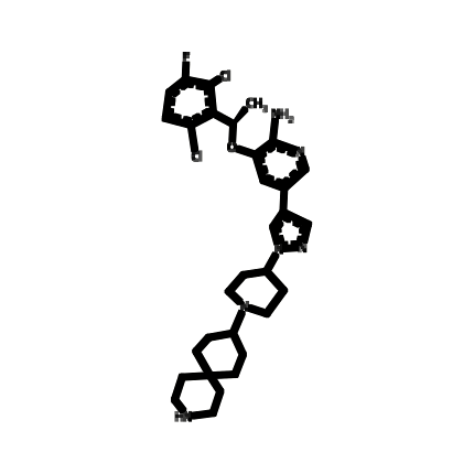 C[C@@H](Oc1cc(-c2cnn(C3CCN(C4CCC5(CCNCC5)CC4)CC3)c2)cnc1N)c1c(Cl)ccc(F)c1Cl